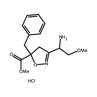 COCC(N)C1=NOC(Cc2ccccc2)(C(=O)OC)C1.Cl